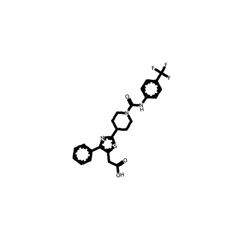 O=C(O)Cc1sc(C2CCN(C(=O)Nc3ccc(C(F)(F)F)cc3)CC2)nc1-c1ccccc1